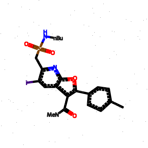 [CH2]CCCNS(=O)(=O)Cc1nc2oc(-c3ccc(C)cc3)c(C(=O)NC)c2cc1I